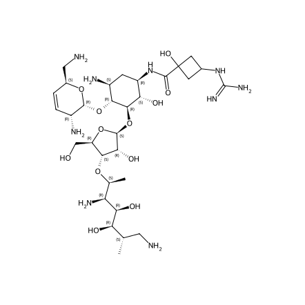 C[C@H](O[C@H]1[C@@H](O)[C@H](O[C@@H]2[C@@H](O)[C@H](NC(=O)C3(O)CC(NC(=N)N)C3)C[C@H](N)[C@H]2O[C@H]2O[C@H](CN)C=C[C@H]2N)O[C@@H]1CO)[C@H](N)[C@@H](O)[C@H](O)[C@@H](C)CN